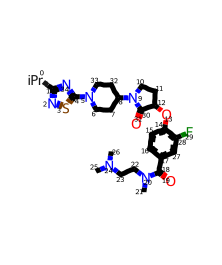 CC(C)c1nsc(N2CCC(N3CCC(Oc4ccc(C(=O)N(C)CCN(C)C)cc4F)C3=O)CC2)n1